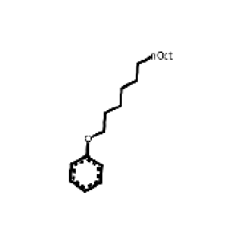 [CH2]CCCCCCCCCCCCCOc1ccccc1